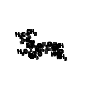 CC(C)C[C@@H]([C]=O)N(C(=O)c1ccc(OC2=CNN(C(=O)NN)S2)cc1)C(=O)c1csc(N(CC(C)C)C2CC2)n1